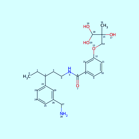 CCC(CCNC(=O)c1cccc(OCC(C)(O)C(O)O)c1)c1cccc(CN)c1